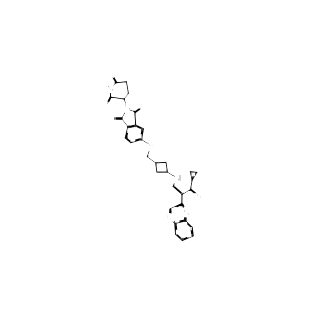 N=C(/C(=C\NC1CC(CNc2ccc3c(c2)C(=O)N(C2CCC(=O)NC2=O)C3=O)C1)c1cnc2ccccc2n1)C1CC1